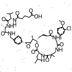 COc1ccc(C[C@H]2NC(=O)/C=C/C[C@@H]([C@H](C)[C@H]3O[C@@H]3c3ccc(CNC(=O)[C@H](C)NC(=O)[C@@H](NC(=O)CCCC(=O)O)C(C)C)cc3)OC(=O)[C@H](CC(C)C)NC(=O)C(C)(C)CNC2=O)cc1Cl